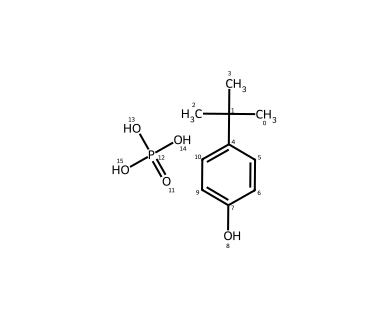 CC(C)(C)c1ccc(O)cc1.O=P(O)(O)O